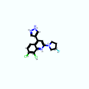 F[C@@H]1CCN(c2cc(-c3cn[nH]c3)c3ccc(Cl)c(Cl)c3n2)C1